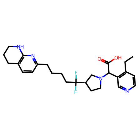 CCc1ccncc1C(C(=O)O)N1CC[C@@H](C(F)(F)CCCCc2ccc3c(n2)NCCC3)C1